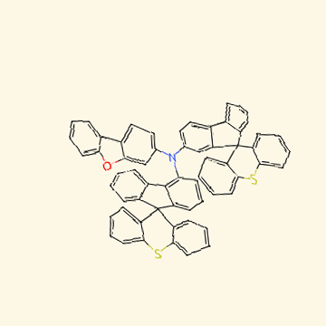 c1ccc2c(c1)Sc1ccccc1C21c2ccccc2-c2ccc(N(c3ccc4c(c3)oc3ccccc34)c3cccc4c3-c3ccccc3C43c4ccccc4Sc4ccccc43)cc21